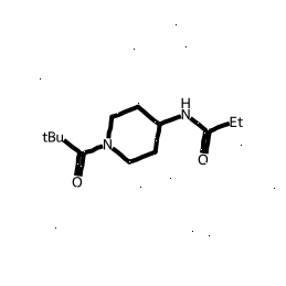 CCC(=O)NC1CCN(C(=O)C(C)(C)C)CC1